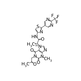 CC(=O)Cn1c(=O)c2c(ncn2[C@@H](C)C(=O)Nc2csc(-c3cnc(C(F)(F)F)nc3)n2)n(C)c1=O